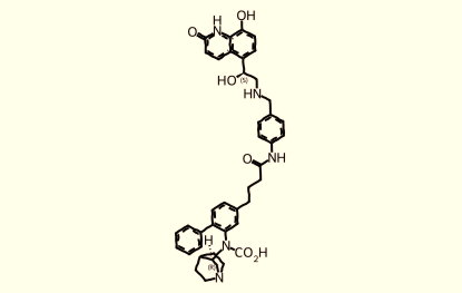 O=C(CCCc1ccc(-c2ccccc2)c(N(C(=O)O)[C@H]2CN3CCC2CC3)c1)Nc1ccc(CNC[C@@H](O)c2ccc(O)c3[nH]c(=O)ccc23)cc1